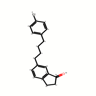 CCc1ccc(CCCCc2ccc3c(c2)C(=O)CC3)cc1